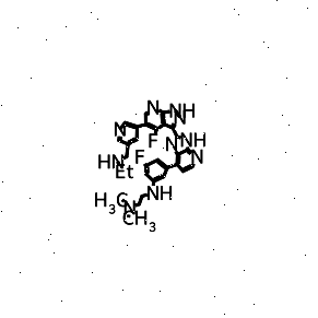 CCNCc1cncc(-c2cnc3[nH]nc(-c4nc5c(-c6cc(F)cc(NCCN(C)C)c6)ccnc5[nH]4)c3c2F)c1